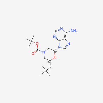 CC(C)(C)C[C@@H]1CN(C(=O)OC(C)(C)C)C[C@H](n2cnc3c(N)ncnc32)O1